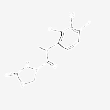 CN(C(=O)C1COC(=O)N1)c1ccc(F)c(Cl)c1F